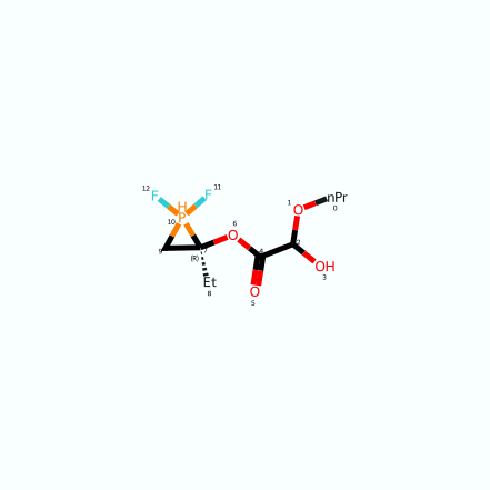 CCCOC(O)C(=O)O[C@@]1(CC)C[PH]1(F)F